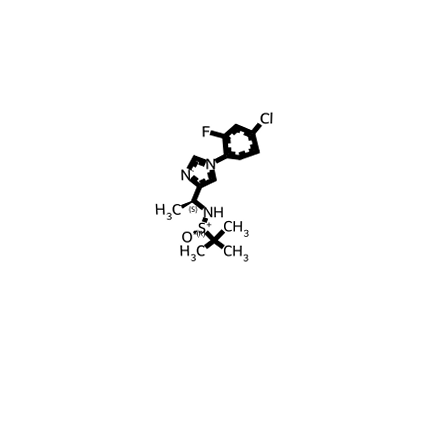 C[C@H](N[S@@+]([O-])C(C)(C)C)c1cn(-c2ccc(Cl)cc2F)cn1